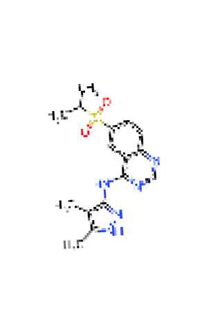 Cc1[nH]nc(Nc2ncnc3ccc(S(=O)(=O)C(C)C)cc23)c1C